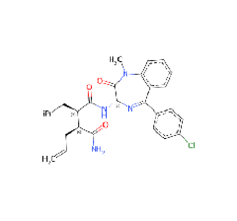 C=CC[C@H](C(N)=O)[C@@H](CC(C)C)C(=O)N[C@H]1N=C(c2ccc(Cl)cc2)c2ccccc2N(C)C1=O